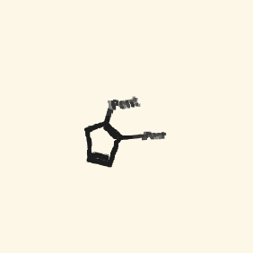 CCCC(C)C1=C(C(C)CCC)CC=C1